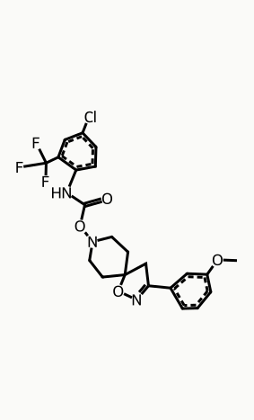 COc1cccc(C2=NOC3(CCN(OC(=O)Nc4ccc(Cl)cc4C(F)(F)F)CC3)C2)c1